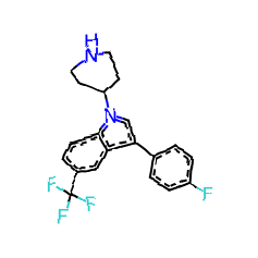 Fc1ccc(-c2cn(C3CCNCC3)c3ccc(C(F)(F)F)cc23)cc1